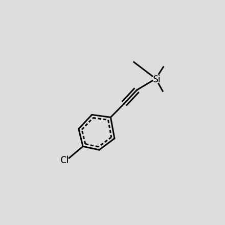 C[Si](C)(C)C#Cc1ccc(Cl)cc1